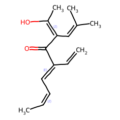 C=C/C(=C\C=C/C)C(=O)/C(C=C(C)C)=C(/C)O